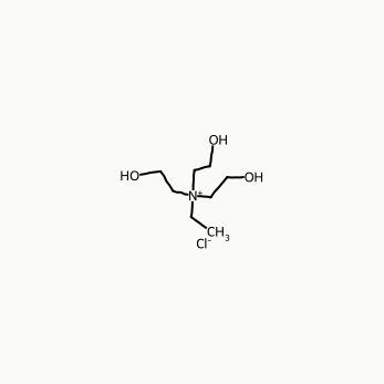 CC[N+](CCO)(CCO)CCO.[Cl-]